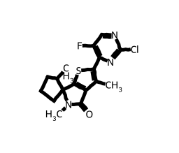 Cc1c(-c2nc(Cl)ncc2F)sc2c1C(=O)N(C)C21CCCC1C